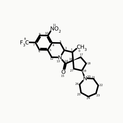 CC1C2Cc3c(cc(C(F)(F)F)cc3[N+](=O)[O-])CN2C(=O)[C@]12CC[C@@H](N1CCCCCC1)C2